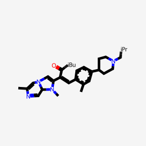 CCC(C)C(=O)/C(=C\c1ccc(C2CCN(CC(C)C)CC2)cc1C)C1=CN2C=C(C)N=CC2N1C